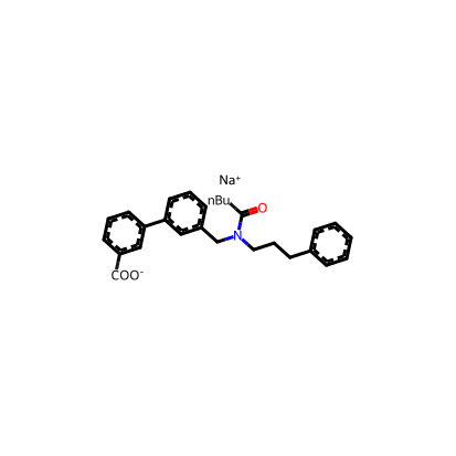 CCCCC(=O)N(CCCc1ccccc1)Cc1cccc(-c2cccc(C(=O)[O-])c2)c1.[Na+]